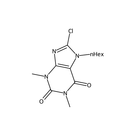 CCCCCCn1c(Cl)nc2c1c(=O)n(C)c(=O)n2C